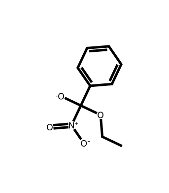 CCOC([O])(c1ccccc1)[N+](=O)[O-]